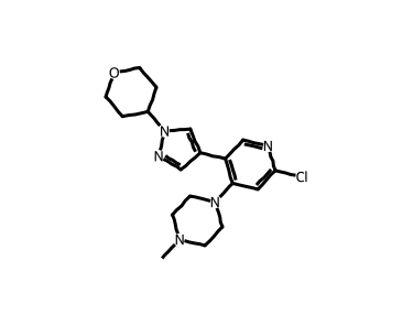 CN1CCN(c2cc(Cl)ncc2-c2cnn(C3CCOCC3)c2)CC1